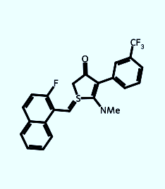 CNC1=C(c2cccc(C(F)(F)F)c2)C(=O)CS1=Cc1c(F)ccc2ccccc12